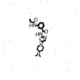 C=CC(=O)Nc1cccc(C(=O)Nc2ncc(N3CCC(N(C)C)CC3)s2)c1